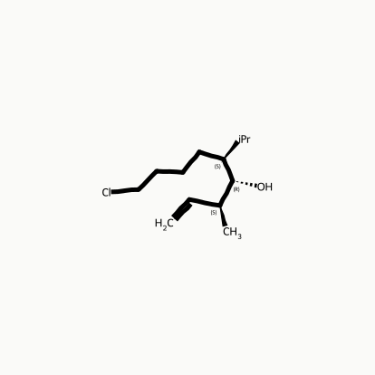 C=C[C@H](C)[C@@H](O)[C@@H](CCCCCl)C(C)C